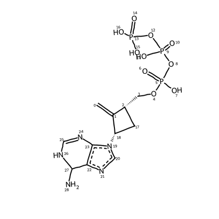 C=C1[C@H](COP(=O)(O)OP(=O)(O)OP(=O)(O)O)C[C@@H]1n1cnc2c1N=CNC2N